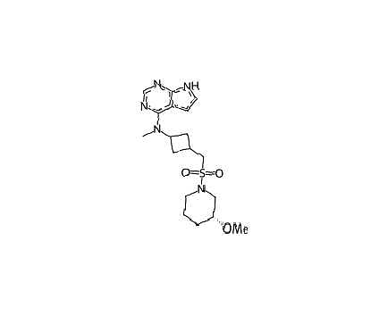 CO[C@@H]1CCCN(S(=O)(=O)CC2CC(N(C)c3ncnc4[nH]ccc34)C2)C1